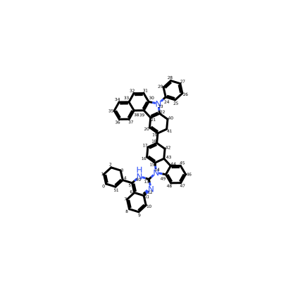 C1=CCCC(C2=c3ccccc3=NC(N3C4=CC=C(C5=Cc6c(n(-c7ccccc7)c7ccc8ccccc8c67)CC5)CC4c4ccccc43)N2)=C1